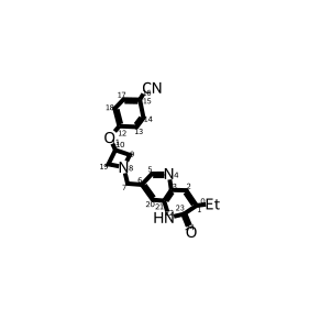 CCc1cc2ncc(CN3CC(Oc4ccc(C#N)cc4)C3)cc2[nH]c1=O